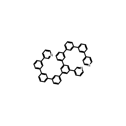 c1cncc(-c2cccc(-c3cccc(-c4cccc(-c5cc(-c6cccnc6)cc(-c6cccc(-c7cccc(-c8cccc(-c9ccncc9)c8)c7)c6)c5)c4)c3)c2)c1